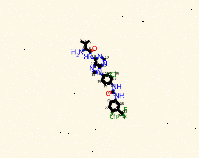 CC(C)C(N)C(=O)Nc1ncnc2c1ncn2-c1ccc(NC(=O)Nc2ccc(Cl)c(C(F)(F)F)c2)cc1.Cl